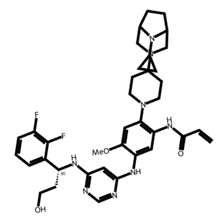 C=CC(=O)Nc1cc(Nc2cc(N[C@H](CCO)c3cccc(F)c3F)ncn2)c(OC)cc1N1CCC(N2CC3CCC(C2)N3C2CC2)CC1